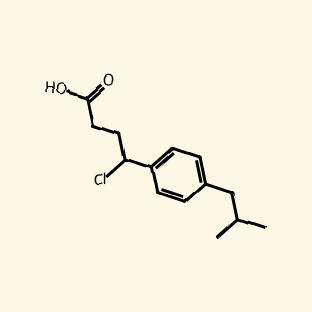 CC(C)Cc1ccc(C(Cl)CCC(=O)O)cc1